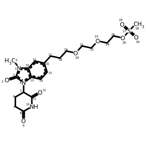 Cn1c(=O)n(C2CCC(=O)NC2=O)c2ccc(CCCOCCOCCOS(C)(=O)=O)cc21